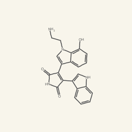 NCCn1cc(C2=C(c3c[nH]c4ccccc34)C(=O)NC2=O)c2cccc(O)c21